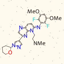 CNCCn1/c(=N/c2c(F)c(OC)cc(OC)c2F)ccc2ncc(-c3cnn(C4CCCCO4)c3)nc21